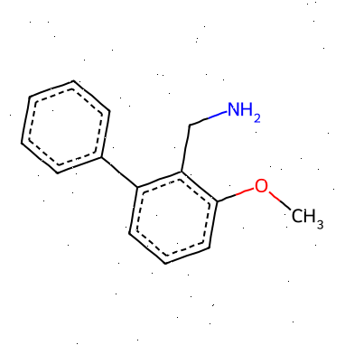 COc1cccc(-c2ccccc2)c1CN